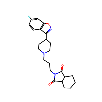 O=C1C2CCCCC2C(=O)N1CCCN1CCC(c2noc3cc(F)ccc23)CC1